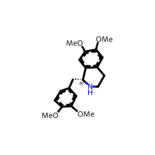 COc1ccc(C[C@H]2NCCc3cc(OC)c(OC)cc32)cc1OC